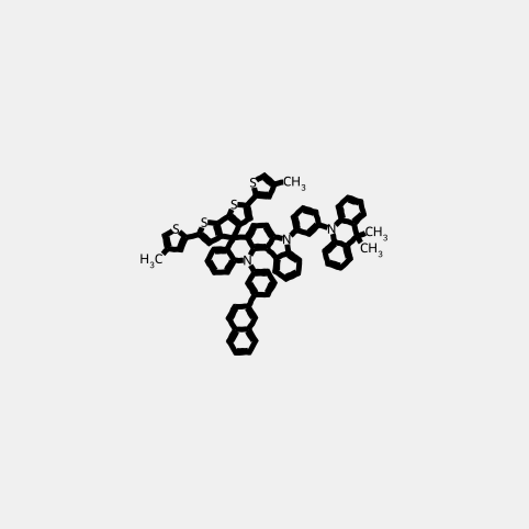 Cc1csc(-c2cc3c(s2)-c2sc(-c4cc(C)cs4)cc2C32c3ccccc3N(c3cccc(-c4ccc5ccccc5c4)c3)c3c2ccc2c3c3ccccc3n2-c2cccc(N3c4ccccc4C(C)(C)c4ccccc43)c2)c1